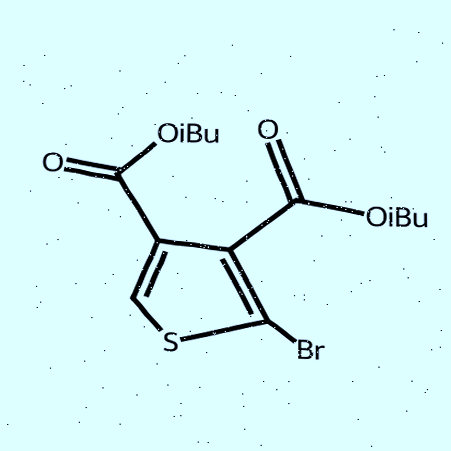 CC(C)COC(=O)c1csc(Br)c1C(=O)OCC(C)C